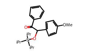 COc1ccc(C(O[Si](C(C)C)(C(C)C)C(C)C)C(=O)c2ccccc2)cc1